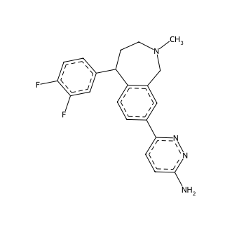 CN1CCC(c2ccc(F)c(F)c2)c2ccc(-c3ccc(N)nn3)cc2C1